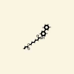 C=CC(=O)OCCCCCC(=O)Nc1ccc(-c2ccccc2)cc1